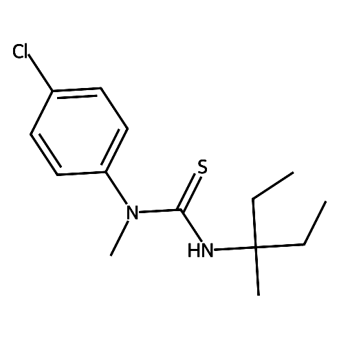 CCC(C)(CC)NC(=S)N(C)c1ccc(Cl)cc1